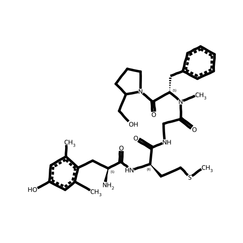 CSCC[C@@H](NC(=O)[C@@H](N)Cc1c(C)cc(O)cc1C)C(=O)NCC(=O)N(C)[C@@H](Cc1ccccc1)C(=O)N1CCCC1CO